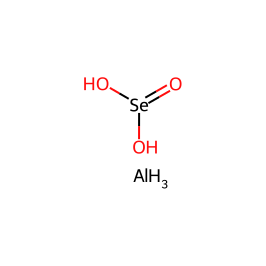 O=[Se](O)O.[AlH3]